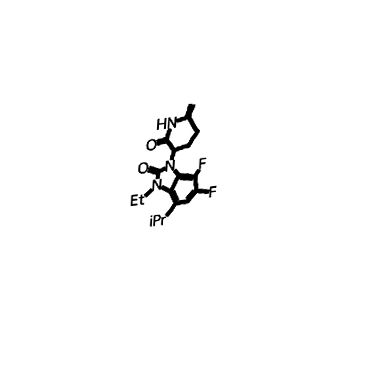 C=C1CCC(n2c(=O)n(CC)c3c(C(C)C)cc(F)c(F)c32)C(=O)N1